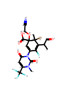 CC(C=O)C1=C(F)C(n2c(=O)cc(C(F)(F)F)n(C)c2=O)=CC(OCC#N)(C(=O)O)C1(C)Br